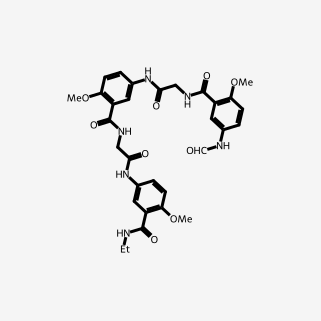 CCNC(=O)c1cc(NC(=O)CNC(=O)c2cc(NC(=O)CNC(=O)c3cc(NC=O)ccc3OC)ccc2OC)ccc1OC